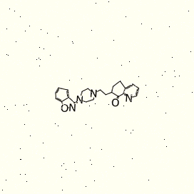 O=C1c2ncccc2CCC1CCN1CCN(c2noc3ccccc23)CC1